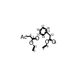 C=COC(=O)CC(C)=O.C=COC(=O)Cc1ccccc1